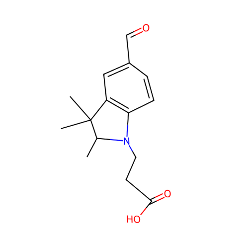 CC1N(CCC(=O)O)c2ccc(C=O)cc2C1(C)C